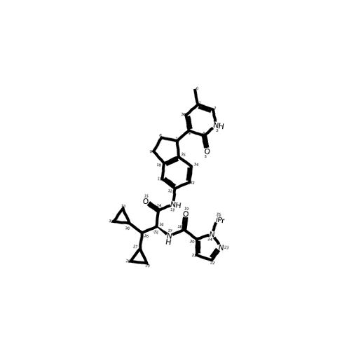 Cc1c[nH]c(=O)c(C2CCc3cc(NC(=O)[C@@H](NC(=O)c4ccnn4C(C)C)C(C4CC4)C4CC4)ccc32)c1